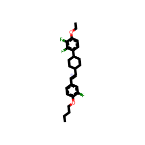 CCCCOc1ccc(/C=C/C2CCC(c3ccc(OCC)c(F)c3F)CC2)cc1F